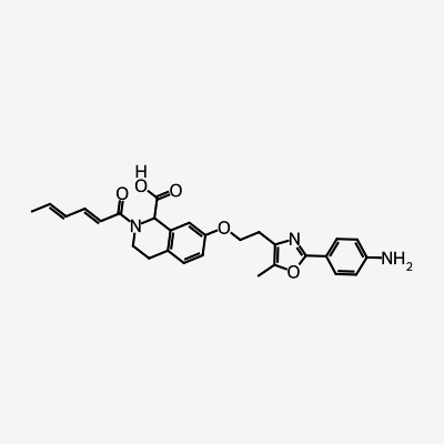 CC=CC=CC(=O)N1CCc2ccc(OCCc3nc(-c4ccc(N)cc4)oc3C)cc2C1C(=O)O